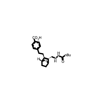 CCCCC(=O)NNC[C@@H]1C2CC[C@@H](O2)[C@H]1CCc1ccc(C(=O)O)cc1